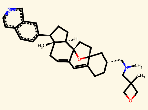 CN(C[C@@H]1CCC2=CC3=CC[C@]4(C)[C@@H](c5ccc6ccncc6c5)CC[C@H]4[C@@]34CC[C@]2(C1)O4)CC1(C)COC1